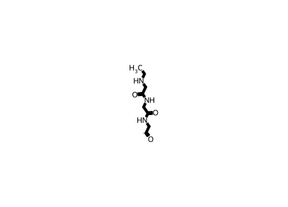 CCNCC(=O)NCC(=O)NC[C]=O